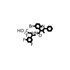 Cc1c(-c2ccccc2)nc2ccc(Br)cc2c1C(=O)NCC(CCC(=O)O)c1cc(F)cc(F)c1F